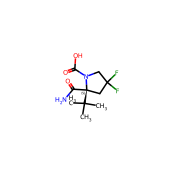 CC(C)(C)[C@]1(C(N)=O)CC(F)(F)CN1C(=O)O